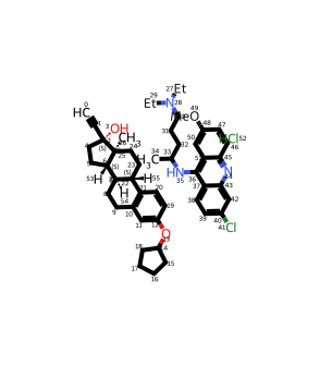 C#C[C@]1(O)CC[C@H]2[C@@H]3CCc4cc(OC5CCCC5)ccc4[C@H]3CC[C@@]21C.CCN(CC)CCCC(C)Nc1c2ccc(Cl)cc2nc2ccc(OC)cc12.Cl